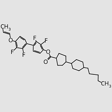 C/C=C/Oc1ccc(-c2ccc(OC(=O)C3CCC(C4CCC(CCCCC)CC4)CC3)c(F)c2F)c(F)c1F